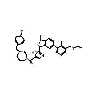 CCNCc1cncc(-c2ccc3[nH]nc(-c4ncc(C(=O)N5CCCN(Cc6ccc(F)cc6)CC5)[nH]4)c3c2)c1C